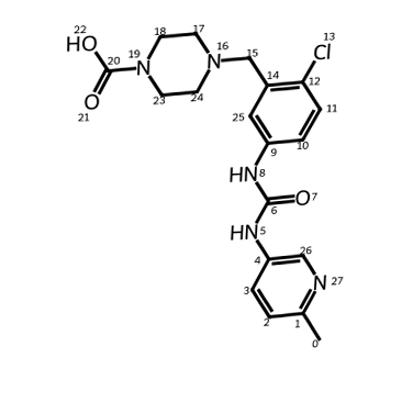 Cc1ccc(NC(=O)Nc2ccc(Cl)c(CN3CCN(C(=O)O)CC3)c2)cn1